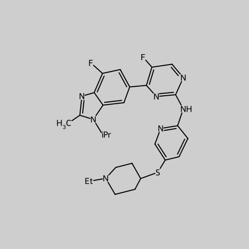 CCN1CCC(Sc2ccc(Nc3ncc(F)c(-c4cc(F)c5nc(C)n(C(C)C)c5c4)n3)nc2)CC1